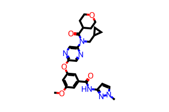 COc1cc(Oc2cnc(N(CC3CC3)C(=O)C3CCOCC3)cn2)cc(C(=O)Nc2ccn(C)n2)c1